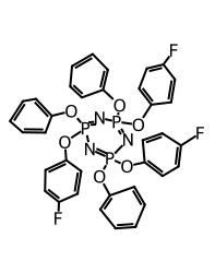 Fc1ccc(OP2(Oc3ccccc3)=NP(Oc3ccccc3)(Oc3ccc(F)cc3)=NP(Oc3ccccc3)(Oc3ccc(F)cc3)=N2)cc1